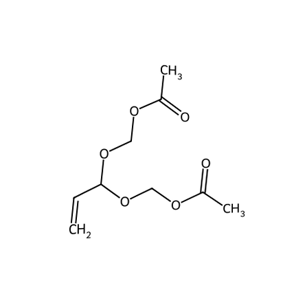 C=CC(OCOC(C)=O)OCOC(C)=O